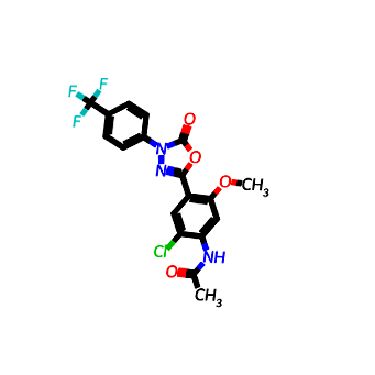 COc1cc(NC(C)=O)c(Cl)cc1-c1nn(-c2ccc(C(F)(F)F)cc2)c(=O)o1